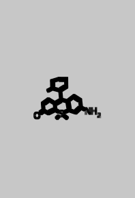 Cc1ccccc1C1=C2C=CC(=O)C=C2S(C)(C)c2cc(N)ccc21